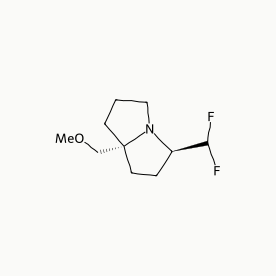 COC[C@]12CCCN1[C@@H](C(F)F)CC2